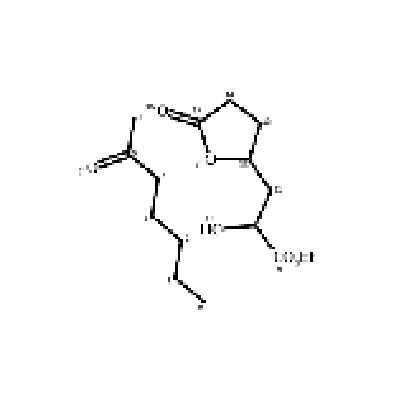 CCCCCC(C)=O.CCOC(=O)C(O)CC1CCC(=O)O1